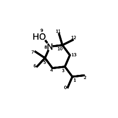 CC(C)C1CC(C)(C)N(O)C(C)(C)C1